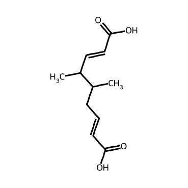 CC(C=CC(=O)O)C(C)CC=CC(=O)O